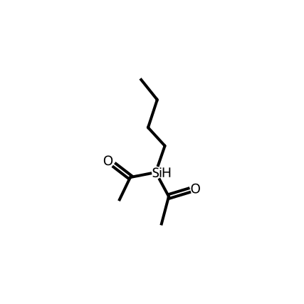 CCCC[SiH](C(C)=O)C(C)=O